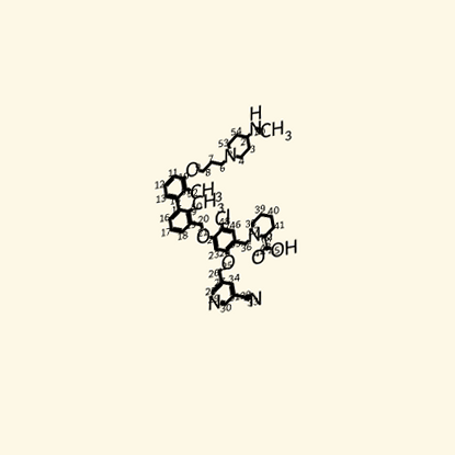 CNC1CCN(CCCOc2cccc(-c3cccc(COc4cc(OCc5cncc(C#N)c5)c(CN5CCCC[C@H]5C(=O)O)cc4Cl)c3C)c2C)CC1